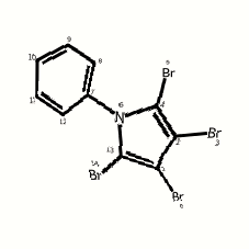 Brc1c(Br)c(Br)n(-c2ccccc2)c1Br